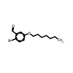 CCCCCCCOc1ccc(Br)c(C=O)c1